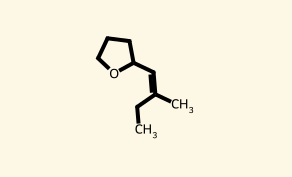 CCC(C)=CC1CCCO1